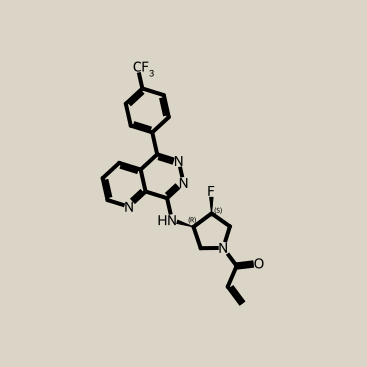 C=CC(=O)N1C[C@H](F)[C@H](Nc2nnc(-c3ccc(C(F)(F)F)cc3)c3cccnc23)C1